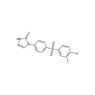 Cc1cc(S(=O)(=O)c2ccc(-n3cn[nH]c3=S)cc2)ccc1Cl